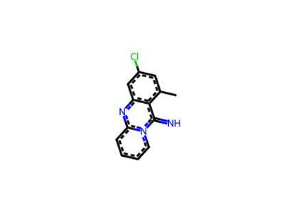 Cc1cc(Cl)cc2nc3ccccn3c(=N)c12